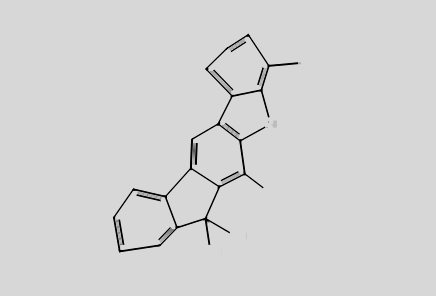 Cc1cccc2c1[nH]c1c(C)c3c(cc12)-c1ccccc1C3(C)C